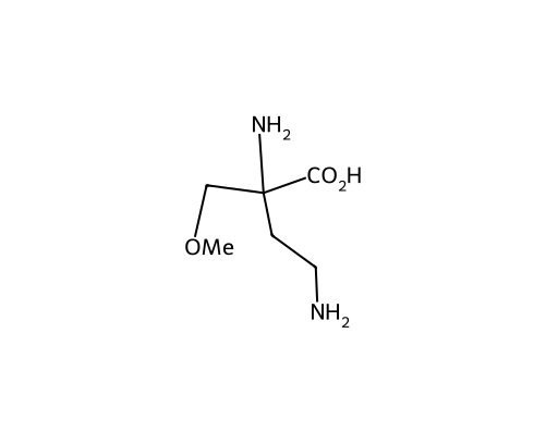 COCC(N)(CCN)C(=O)O